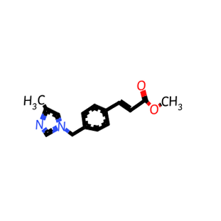 COC(=O)/C=C/c1ccc(Cn2cnc(C)c2)cc1